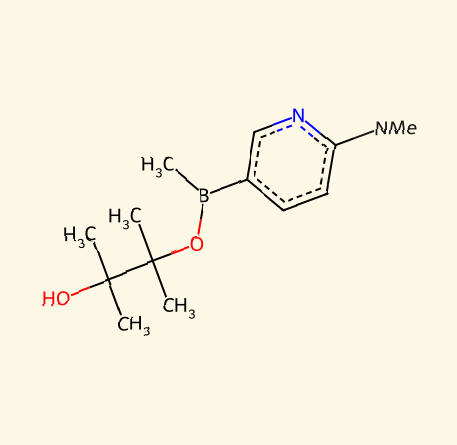 CNc1ccc(B(C)OC(C)(C)C(C)(C)O)cn1